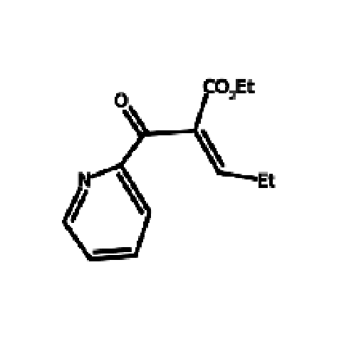 CCC=C(C(=O)OCC)C(=O)c1ccccn1